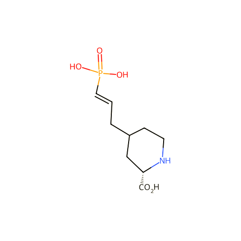 O=C(O)[C@@H]1CC(CC=CP(=O)(O)O)CCN1